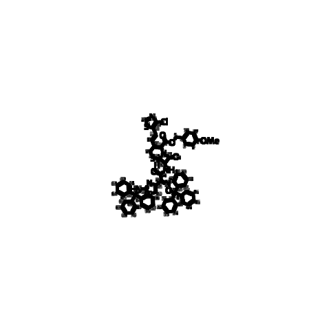 COc1ccc(COC(=O)C2=C(C=Cc3scnc3Cl)CS[C@H]3C(NC(=O)C(=NOC(c4ccccc4)(c4ccccc4)c4ccccc4)c4csc(NC(c5ccccc5)(c5ccccc5)c5ccccc5)n4)C(=O)N23)cc1